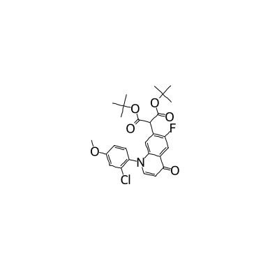 COc1ccc(-n2ccc(=O)c3cc(F)c(C(C(=O)OC(C)(C)C)C(=O)OC(C)(C)C)cc32)c(Cl)c1